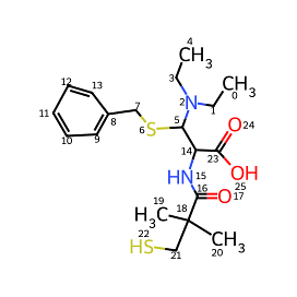 CCN(CC)C(SCc1ccccc1)C(NC(=O)C(C)(C)CS)C(=O)O